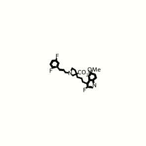 COc1ccc2ncc(F)c(CCCC3(C(=O)O)CCN(C/C=C/c4cc(F)ccc4F)C3)c2c1